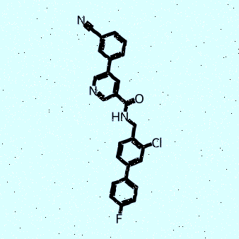 N#Cc1cccc(-c2cncc(C(=O)NCc3ccc(-c4ccc(F)cc4)cc3Cl)c2)c1